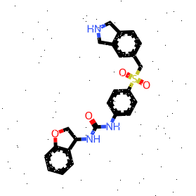 O=C(Nc1ccc(S(=O)(=O)Cc2ccc3c(c2)CNC3)cc1)NC1COc2ccccc21